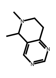 CC1c2cncnc2CCN1C